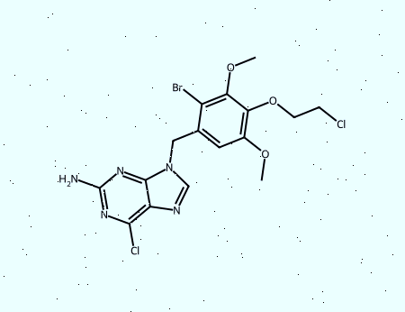 COc1cc(Cn2cnc3c(Cl)nc(N)nc32)c(Br)c(OC)c1OCCCl